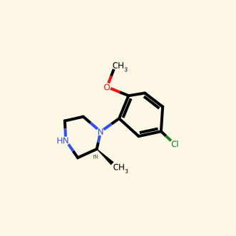 COc1ccc(Cl)cc1N1CCNC[C@@H]1C